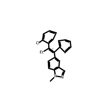 CC/C(=C(/c1[c]cccc1)c1ccc2c(cnn2C)c1)c1ccccc1Cl